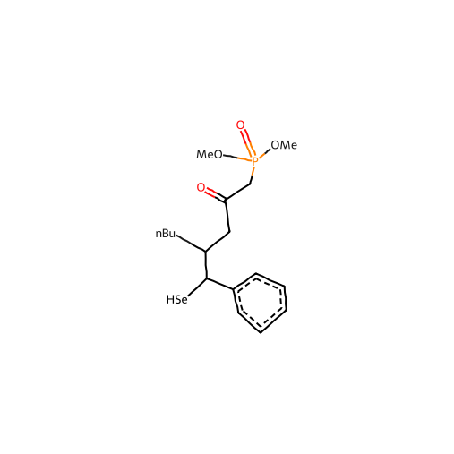 CCCCC(CC(=O)CP(=O)(OC)OC)C([SeH])c1ccccc1